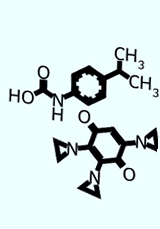 CC(C)c1ccc(NC(=O)O)cc1.O=C1C=C(N2CC2)C(=O)C(N2CC2)=C1N1CC1